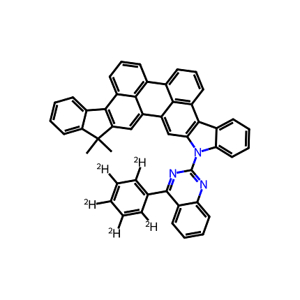 [2H]c1c([2H])c([2H])c(-c2nc(-n3c4ccccc4c4c5cccc6c7cccc8c9c(cc(c(cc43)c65)c87)C(C)(C)c3ccccc3-9)nc3ccccc23)c([2H])c1[2H]